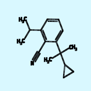 CC(C)c1cccc(C(C)(C)C2CC2)c1C#N